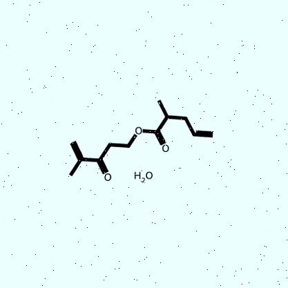 C=CCC(C)C(=O)OCCC(=O)C(=C)C.O